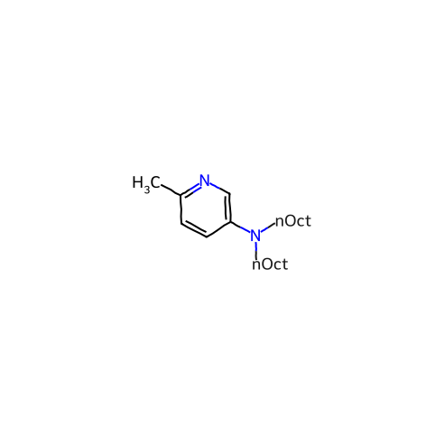 CCCCCCCCN(CCCCCCCC)c1ccc(C)nc1